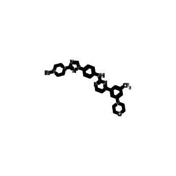 CCN1CCN(c2ncn(-c3ccc(Nc4nccc(-c5cc(N6CCOCC6)cc(C(F)(F)F)c5)n4)cc3)n2)CC1